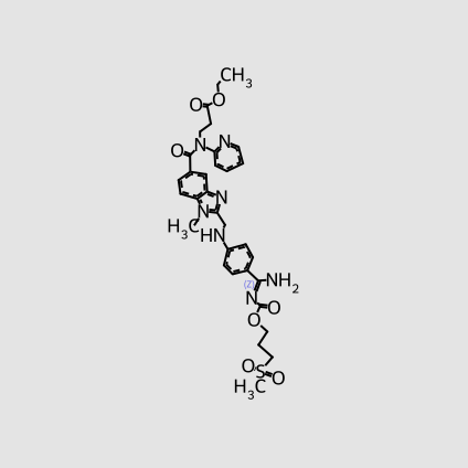 CCOC(=O)CCN(C(=O)c1ccc2c(c1)nc(CNc1ccc(/C(N)=N/C(=O)OCCCS(C)(=O)=O)cc1)n2C)c1ccccn1